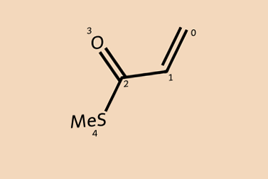 C=CC(=O)SC